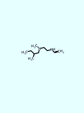 C=CNCCN(C)CC(C)CC